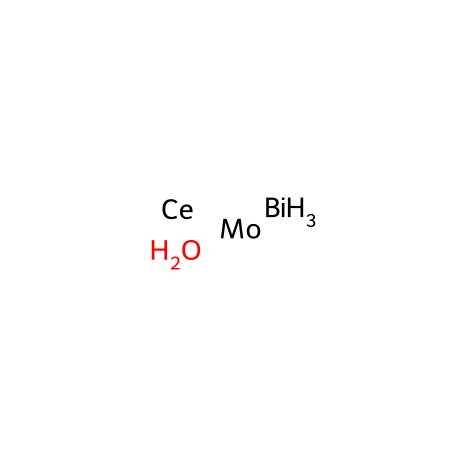 O.[BiH3].[Ce].[Mo]